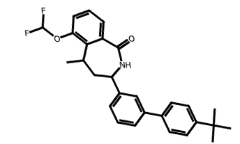 CC1CC(c2cccc(-c3ccc(C(C)(C)C)cc3)c2)NC(=O)c2cccc(OC(F)F)c21